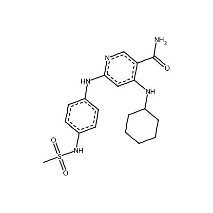 CS(=O)(=O)Nc1ccc(Nc2cc(NC3CCCCC3)c(C(N)=O)cn2)cc1